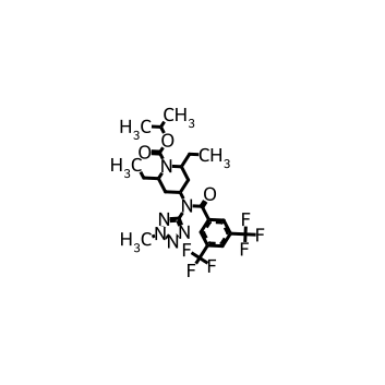 CCC1CC(N(C(=O)c2cc(C(F)(F)F)cc(C(F)(F)F)c2)c2nnn(C)n2)CC(CC)N1C(=O)OC(C)C